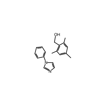 Cc1cc(C)c(CO)c(C)c1.c1ccc(-n2ccnc2)cc1